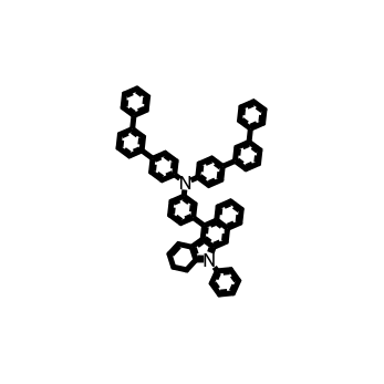 C1=Cc2c(n(-c3ccccc3)c3cc4ccccc4c(-c4cccc(N(c5ccc(-c6cccc(-c7ccccc7)c6)cc5)c5ccc(-c6cccc(-c7ccccc7)c6)cc5)c4)c23)CC1